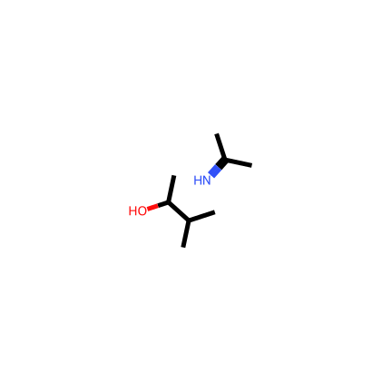 CC(C)=N.CC(C)C(C)O